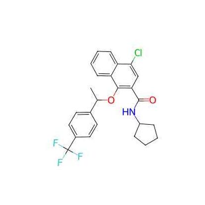 CC(Oc1c(C(=O)NC2CCCC2)cc(Cl)c2ccccc12)c1ccc(C(F)(F)F)cc1